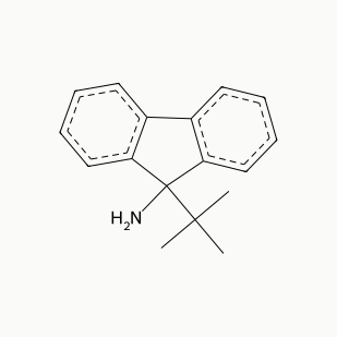 CC(C)(C)C1(N)c2ccccc2-c2ccccc21